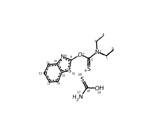 CCN(CC)C(=S)Oc1nc2ccccc2s1.NC(O)=S